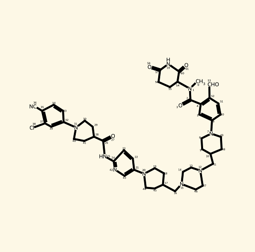 CN(C(=O)c1cc(N2CCC(CN3CCN(CC4CCN(c5ccc(NC(=O)C6CCN(c7ccc(C#N)c(Cl)c7)CC6)nc5)CC4)CC3)CC2)ccc1C=O)C1CCC(=O)NC1=O